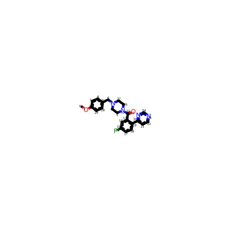 COc1ccc(CN2CCN(C(=O)c3cc(F)ccc3-c3ccncn3)CC2)cc1